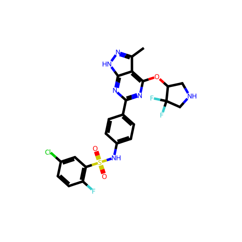 Cc1n[nH]c2nc(-c3ccc(NS(=O)(=O)c4cc(Cl)ccc4F)cc3)nc(OC3CNCC3(F)F)c12